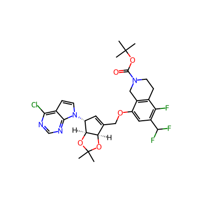 CC(C)(C)OC(=O)N1CCc2c(F)c(C(F)F)cc(OCC3=C[C@@H](n4ccc5c(Cl)ncnc54)[C@@H]4OC(C)(C)O[C@H]34)c2C1